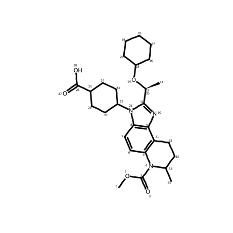 COC(=O)N1c2ccc3c(nc([C@H](C)OC4CCCCC4)n3C3CCC(C(=O)O)CC3)c2CCC1C